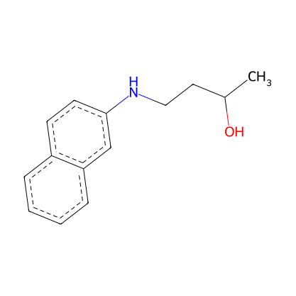 CC(O)CCNc1ccc2ccccc2c1